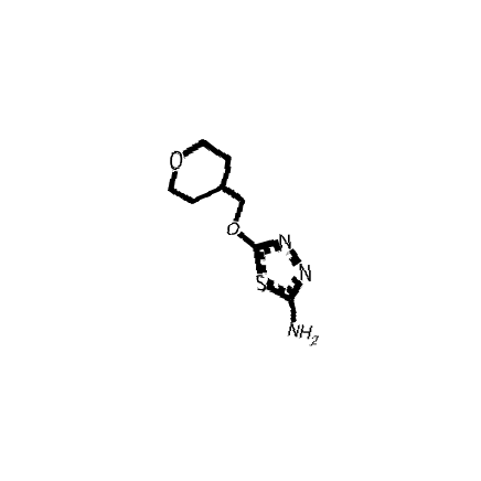 Nc1nnc(OCC2CCOCC2)s1